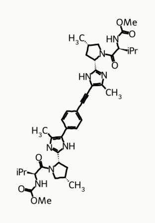 COC(=O)N[C@H](C(=O)N1C[C@@H](C)C[C@H]1c1nc(C)c(C#Cc2ccc(-c3[nH]c([C@@H]4C[C@H](C)CN4C(=O)[C@@H](NC(=O)OC)C(C)C)nc3C)cc2)[nH]1)C(C)C